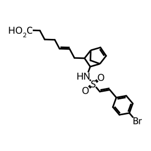 O=C(O)CCCC=CCC1C2C=CC(C2)C1NS(=O)(=O)C=Cc1ccc(Br)cc1